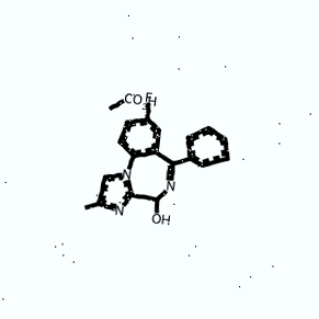 CC(=O)O.Cc1cn2c(n1)C(O)N=C(c1ccccc1)c1cc(F)ccc1-2